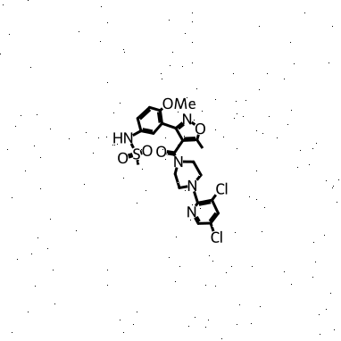 COc1ccc(NS(C)(=O)=O)cc1-c1noc(C)c1C(=O)N1CCN(c2ncc(Cl)cc2Cl)CC1